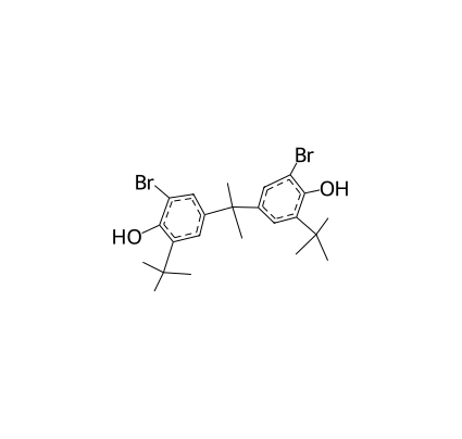 CC(C)(C)c1cc(C(C)(C)c2cc(Br)c(O)c(C(C)(C)C)c2)cc(Br)c1O